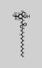 CCCCCCCCCCCCCCCOC(=O)CCc1cc(C(C)(C)C)cc(CC)c1O